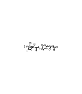 CCC1=C(C)CN(C(=O)NCCc2ccc(OC(=O)N=S(=O)=O)cc2)C1=O